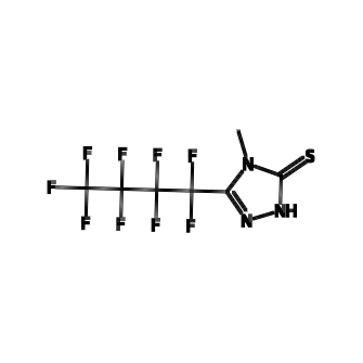 Cn1c(C(F)(F)C(F)(F)C(F)(F)C(F)(F)F)n[nH]c1=S